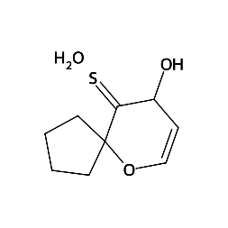 O.OC1C=COC2(CCCC2)C1=S